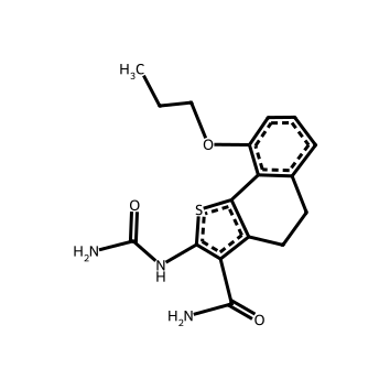 CCCOc1cccc2c1-c1sc(NC(N)=O)c(C(N)=O)c1CC2